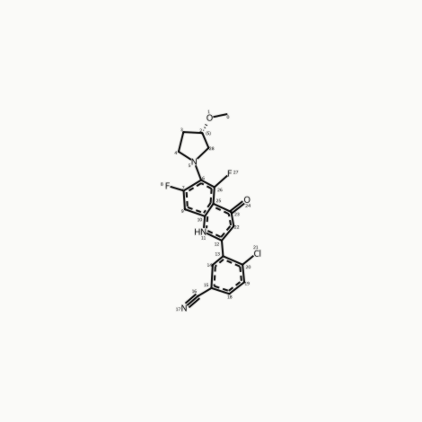 CO[C@H]1CCN(c2c(F)cc3[nH]c(-c4cc(C#N)ccc4Cl)cc(=O)c3c2F)C1